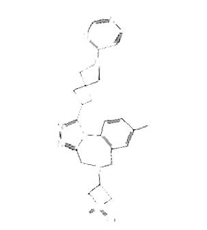 O=S1(=O)CC(N2Cc3cc(Cl)ccc3-n3c(nnc3C3CC4(C3)CN(c3ccncn3)C4)C2)C1